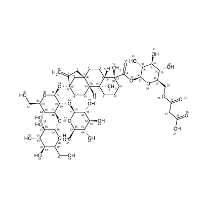 C=C1C[C@@]23CC[C@H]4[C@@](C)(CCC[C@@]4(C)C(=O)O[C@@H]4O[C@H](COC(=O)CC(=O)O)[C@@H](O)[C@H](O)[C@H]4O)[C@@H]2CC[C@]1(O[C@@H]1O[C@H](CO)[C@@H](O)[C@H](O[C@@H]2OC(CO)[C@@H](O)[C@H](O)[C@H]2O)[C@H]1O[C@@H]1O[C@H](CO)[C@@H](O)[C@H](O)[C@H]1O)C3